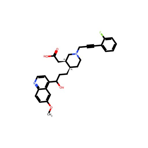 COc1ccc2nccc(C(O)CC[C@@H]3CCN(CC#Cc4ccccc4F)C[C@@H]3CC(=O)O)c2c1